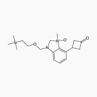 C[N+]1([O-])CN(COCC[Si](C)(C)C)c2cccc(C3CC(=O)C3)c21